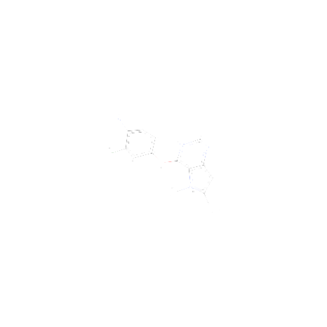 Cc1cc2ncnc(Oc3ccc(N)c(Cl)c3)c2n1C